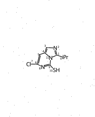 CC(C)c1ncc2cc(Cl)nc(S)n12